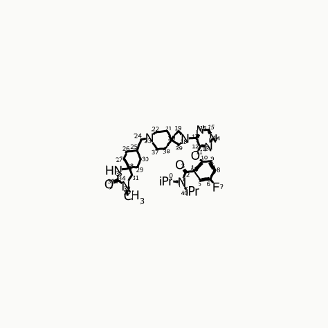 CC(C)N(C(=O)c1cc(F)ccc1Oc1nncnc1N1CC2(CCN(CC3CCC4(CC3)CN(C)C(=O)N4)CC2)C1)C(C)C